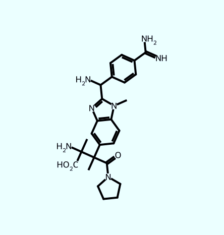 Cn1c(C(N)c2ccc(C(=N)N)cc2)nc2cc(C(C)(C(=O)N3CCCC3)C(C)(N)C(=O)O)ccc21